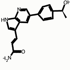 C[C@H](O)c1ccc(-c2cnc3[nH]cc(C=CC(N)=O)c3c2)cc1